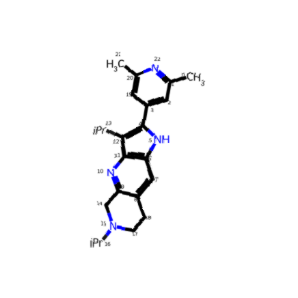 Cc1cc(-c2[nH]c3cc4c(nc3c2C(C)C)CN(C(C)C)CC4)cc(C)n1